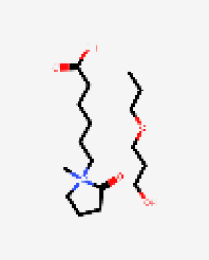 CCCOCCCO.C[N+]1(CCCCCC(=O)O)CCCC1=O